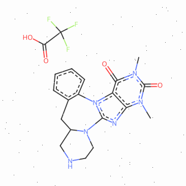 Cn1c(=O)c2c(nc3n2-c2ccccc2CC2CNCCN32)n(C)c1=O.O=C(O)C(F)(F)F